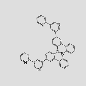 c1ccc(-c2cncc(-c3ccc4c(c3)-c3ccccc3B3c5ccccc5-c5cc(-c6cncc(-c7ccccn7)c6)ccc5N34)c2)nc1